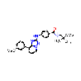 CNC(C)(C)CNC(=O)c1ccc(Nc2nc3c(-c4cccc(OC)c4)cccn3n2)cc1